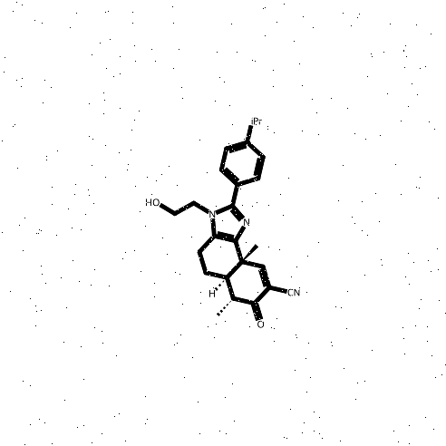 CC(C)c1ccc(-c2nc3c(n2CCO)CC[C@@H]2[C@@H](C)C(=O)C(C#N)=C[C@@]32C)cc1